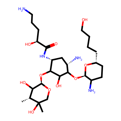 C[C@@H]1C(O)[C@@H](OC2C(O)C(O[C@H]3O[C@H](CCCCO)CCC3N)[C@@H](N)C[C@H]2NC(=O)[C@@H](O)CCCN)OCC1(C)O